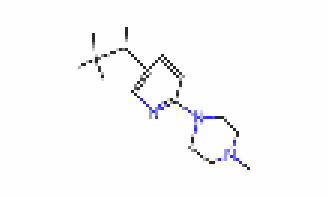 C[C@@H](c1ccc(N2CCN(C)CC2)nc1)C(C)(C)C